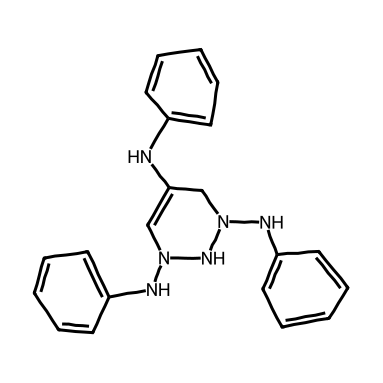 C1=C(Nc2ccccc2)CN(Nc2ccccc2)NN1Nc1ccccc1